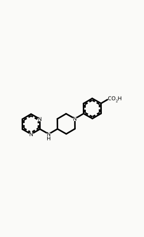 O=C(O)c1ccc(N2CCC(Nc3ncccn3)CC2)cc1